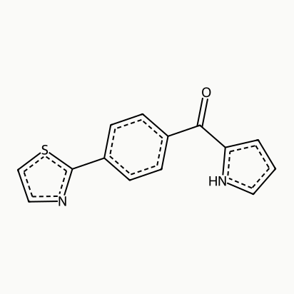 O=C(c1ccc(-c2nccs2)cc1)c1ccc[nH]1